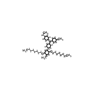 CCCCCCCCOc1cc(-c2ccc(N(c3ccc(C)cc3)c3ccc(CC)cc3)cc2)c(OCCCCCCCC)cc1C